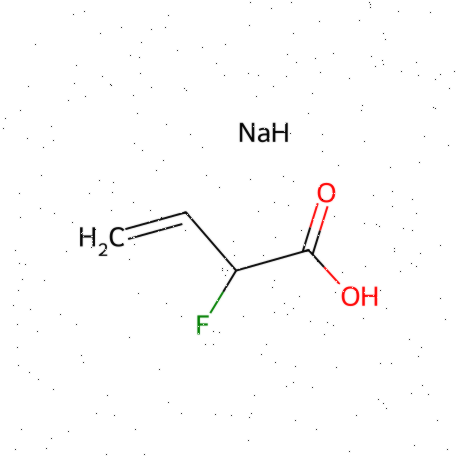 C=CC(F)C(=O)O.[NaH]